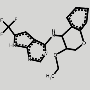 CCOC1COc2ccccc2C1Nc1ncnc2[nH]c(C(F)(F)F)cc12